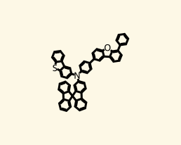 c1ccc(-c2cccc3c2oc2ccc(-c4ccc(N(c5ccc6c(c5)C5(c7ccccc7-c7ccccc75)c5ccccc5-6)c5ccc6sc7ccccc7c6c5)cc4)cc23)cc1